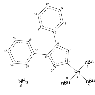 CCC[CH2][Sn]([CH2]CCC)([CH2]CCC)[c]1cc(-c2ccccc2)c(-c2ccccc2)s1.N